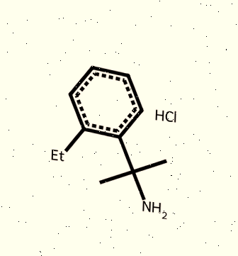 CCc1ccccc1C(C)(C)N.Cl